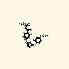 CCCOc1ccc(Oc2ncc(Oc3ccc(C(C)CC(N)=O)cc3)s2)c(F)c1